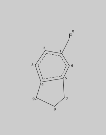 Fc1ccc2c(c1)CC[C]2